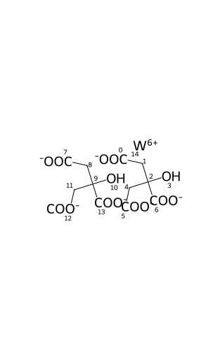 O=C([O-])CC(O)(CC(=O)[O-])C(=O)[O-].O=C([O-])CC(O)(CC(=O)[O-])C(=O)[O-].[W+6]